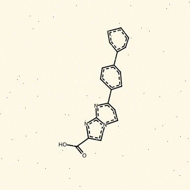 O=C(O)c1cn2ccc(-c3ccc(-c4ccccc4)cc3)nc2n1